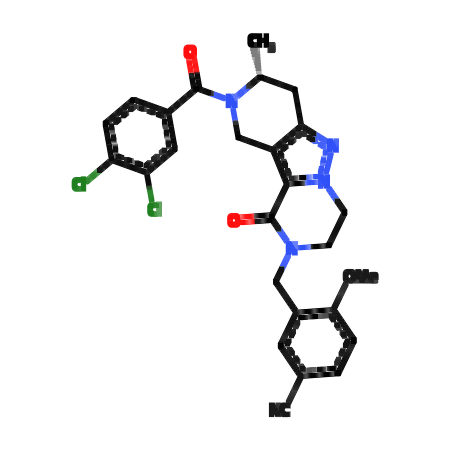 COc1ccc(C#N)cc1CN1CCn2nc3c(c2C1=O)CN(C(=O)c1ccc(Cl)c(Cl)c1)[C@H](C)C3